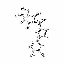 CCOP(=O)(OCC)C(CC(C)C)C(=O)N[C@H](c1cn(-c2ccc(Cl)c(Cl)c2)nn1)C(C)C